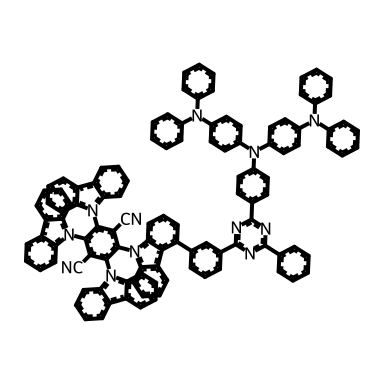 N#Cc1c(-n2c3ccccc3c3ccccc32)c(-n2c3ccccc3c3ccccc32)c(C#N)c(-n2c3ccccc3c3c(-c4cccc(-c5nc(-c6ccccc6)nc(-c6ccc(N(c7ccc(N(c8ccccc8)c8ccccc8)cc7)c7ccc(N(c8ccccc8)c8ccccc8)cc7)cc6)n5)c4)cccc32)c1-n1c2ccccc2c2ccccc21